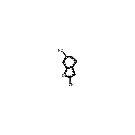 N#Cc1ccc2cc(C#N)oc2c1